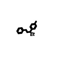 CCC(CCc1ccccc1)c1ccc(C)cc1